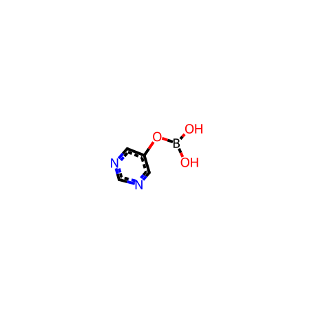 OB(O)Oc1cncnc1